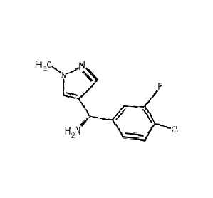 Cn1cc([C@H](N)c2ccc(Cl)c(F)c2)cn1